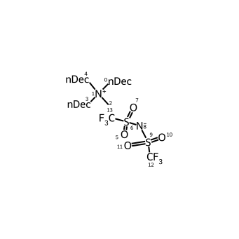 CCCCCCCCCC[N+](C)(CCCCCCCCCC)CCCCCCCCCC.O=S(=O)([N-]S(=O)(=O)C(F)(F)F)C(F)(F)F